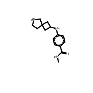 CNC(=O)c1ccc(NC2CC3(CCNC3)C2)cc1